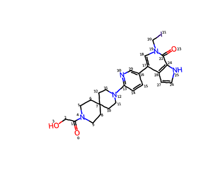 O=C(CO)N1CCC2(CC1)CCN(c1ccc(-c3cn(CI)c(=O)c4[nH]ccc34)cn1)CC2